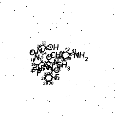 COc1c(C2CN(C(=O)N3CCC(O)C3)CCC2C(F)(F)F)nn(C(=O)c2ccccc2F)c1N(C)Cc1ccc(CN)cc1